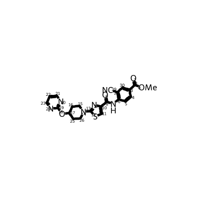 COC(=O)c1ccc(NC(=O)c2csc(N3CCC(Oc4ncccn4)CC3)n2)c(C#N)c1